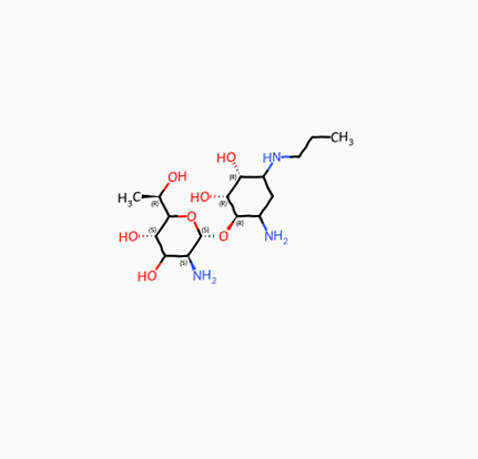 CCCNC1CC(N)[C@@H](O[C@H]2OC([C@@H](C)O)[C@@H](O)C(O)[C@@H]2N)[C@H](O)[C@@H]1O